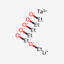 CC[O-].CC[O-].CC[O-].CC[O-].CC[O-].CC[O-].[Li+].[Ta+5]